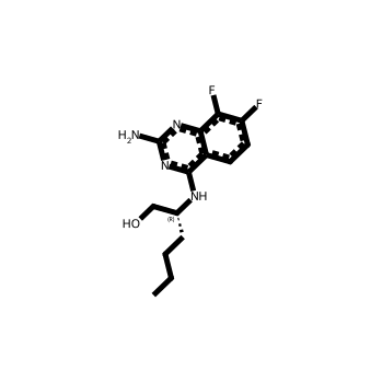 CCCC[C@H](CO)Nc1nc(N)nc2c(F)c(F)ccc12